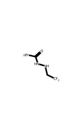 CCCC(=O)NNCC(F)(F)F